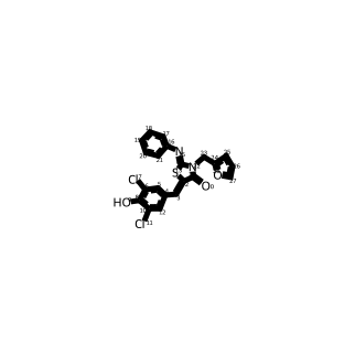 O=C1/C(=C/c2cc(Cl)c(O)c(Cl)c2)S/C(=N\c2ccccc2)N1Cc1ccco1